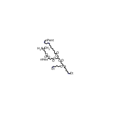 CC/C=C\CCCCOC(CCC(=O)OCC(COC(=O)CCCCCCC/C=C\C/C=C\CCCCC)COC(=O)CCC(CCCCCC)OC(=O)OCCCN(C)C)OCCCC/C=C\CC